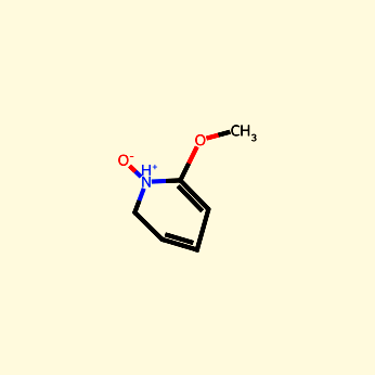 COC1=CC=CC[NH+]1[O-]